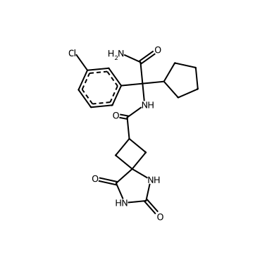 NC(=O)C(NC(=O)C1CC2(C1)NC(=O)NC2=O)(c1cccc(Cl)c1)C1CCCC1